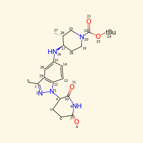 Cc1nn(C2CCC(=O)NC2=O)c2ccc(N[C@@H]3CCN(C(=O)OC(C)(C)C)C[C@H]3C)cc12